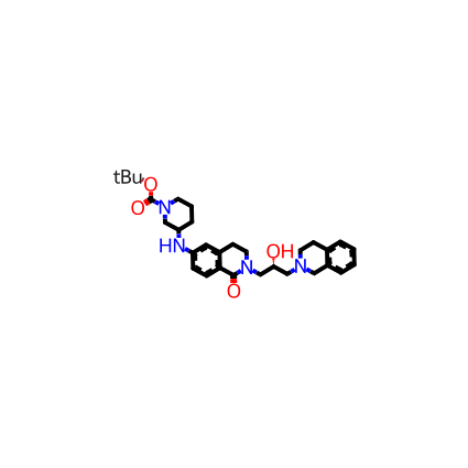 CC(C)(C)OC(=O)N1CCCC(Nc2ccc3c(c2)CCN(C[C@H](O)CN2CCc4ccccc4C2)C3=O)C1